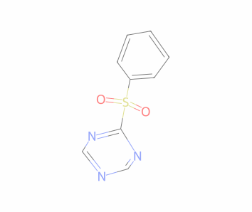 O=S(=O)(c1ccccc1)c1ncncn1